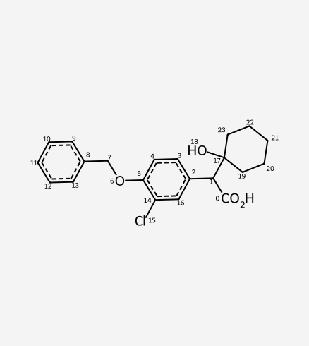 O=C(O)C(c1ccc(OCc2ccccc2)c(Cl)c1)C1(O)CCCCC1